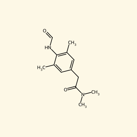 Cc1cc(CC(=O)N(C)C)cc(C)c1NC=O